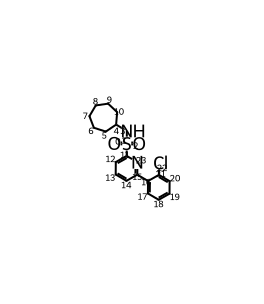 O=S(=O)(NC1CCCCCC1)c1cccc(-c2ccccc2Cl)n1